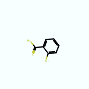 S=C(S)c1ccccc1S